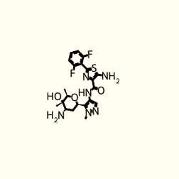 C[C@H]1O[C@@H](c2c(NC(=O)c3nc(-c4c(F)cccc4F)sc3N)cnn2C)C[C@@H](N)[C@]1(C)O